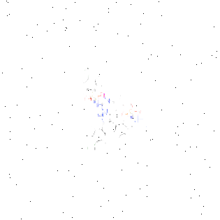 NS(=O)(=O)OC1CC(N/C(=N\S(=O)(=O)c2ccc(Cl)cc2)N2C[C@@H](c3ccccc3)C(c3ccc(Cl)cc3)=N2)C1